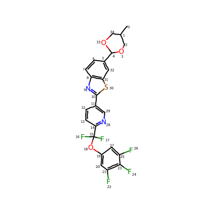 CC1COC(c2ccc3nc(-c4ccc(C(F)(F)Oc5cc(F)c(F)c(F)c5)nc4)sc3c2)OC1